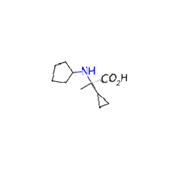 C[C@](NC1CCCC1)(C(=O)O)C1CC1